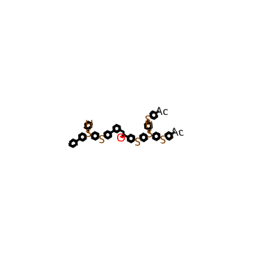 CC(=O)c1ccc(Sc2ccc([SH](c3ccc(Sc4ccc(C(C)=O)cc4)cc3)c3ccc(Sc4ccc(C(=O)Cc5cccc(-c6ccc(Sc7ccc([SH](c8ccccc8)c8ccc(-c9ccccc9)cc8)cc7)cc6)c5)cc4)cc3)cc2)cc1